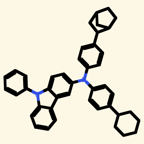 c1ccc(-n2c3ccccc3c3cc(N(c4ccc(C5CCCCC5)cc4)c4ccc(C5CC6CCC5C6)cc4)ccc32)cc1